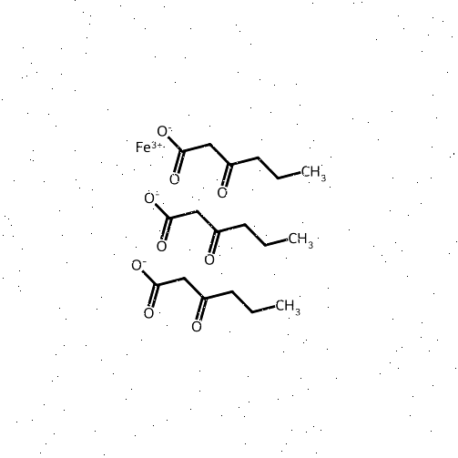 CCCC(=O)CC(=O)[O-].CCCC(=O)CC(=O)[O-].CCCC(=O)CC(=O)[O-].[Fe+3]